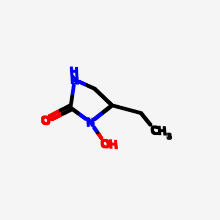 CCC1CNC(=O)N1O